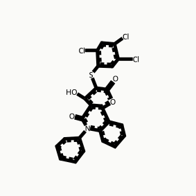 O=c1oc2c(c(O)c1Sc1cc(Cl)c(Cl)cc1Cl)c(=O)n(-c1ccccc1)c1ccccc21